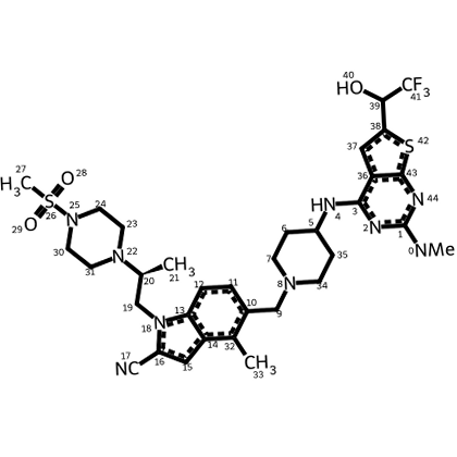 CNc1nc(NC2CCN(Cc3ccc4c(cc(C#N)n4C[C@H](C)N4CCN(S(C)(=O)=O)CC4)c3C)CC2)c2cc(C(O)C(F)(F)F)sc2n1